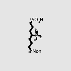 CCCCCCCCCCCCC(CCCS(=O)(=O)O)[PH](C)(C)C